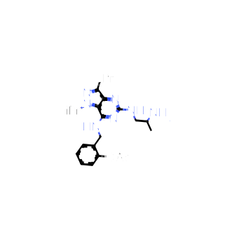 CC(=O)Oc1ccccc1CNc1nc(NCC(C)N)nc2c(C(C)C)nn(C(C)C)c12